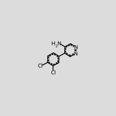 Nc1cnncc1-c1ccc(Cl)c(Cl)c1